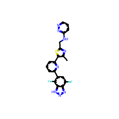 Cc1nc(CNc2cccnn2)sc1-c1cccc(-c2cc(F)c3nn[nH]c3c2F)n1